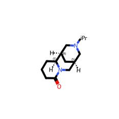 CC(C)N1C[C@@H]2C[C@H](C1)[C@@H]1CCCC(=O)N1C2